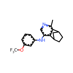 Cc1ncc(Nc2cccc(OC(F)(F)F)c2)c2c1C1CCC2C1